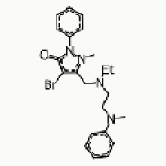 CCN(CCN(C)c1ccccc1)Cc1c(Br)c(=O)n(-c2ccccc2)n1C